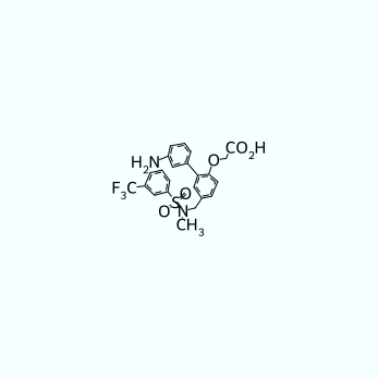 CN(Cc1ccc(OCC(=O)O)c(-c2cccc(N)c2)c1)S(=O)(=O)c1cccc(C(F)(F)F)c1